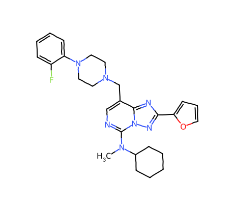 CN(c1ncc(CN2CCN(c3ccccc3F)CC2)c2nc(-c3ccco3)nn12)C1CCCCC1